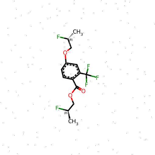 C[C@@H](F)COC(=O)c1ccc(OC[C@@H](C)F)cc1C(F)(F)F